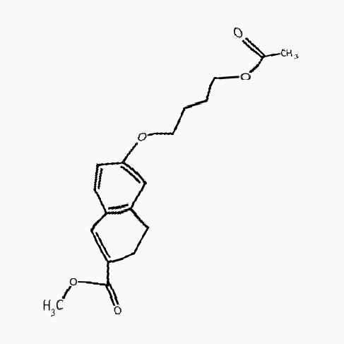 COC(=O)C1=Cc2ccc(OCCCCOC(C)=O)cc2CC1